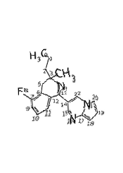 CCCC1(C)Cc2c(F)cccc2C(c2cnc3cccn3c2)=N1